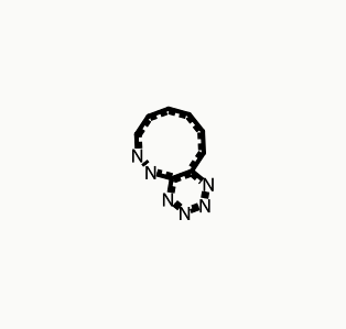 c1cccc2nnnnc2nncc1